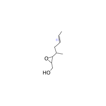 C/C=C/CC(C)C1OC1CO